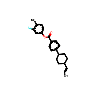 CCCC=CC1CCC(c2ccc(C(=O)Oc3ccc(C#N)c(F)c3)cc2)CC1